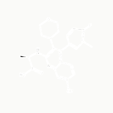 Cc1cc(-c2c(C3CCOCC3)c(N[C@H](C)C(=O)O)nc3cc(O)ccc23)ccc1F